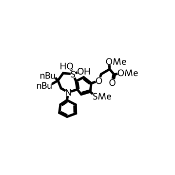 CCCCC1(CCCC)CN(c2ccccc2)c2cc(SC)c(OCC(OC)C(=O)OC)cc2S(O)(O)C1